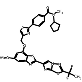 COc1cc(OCc2csc(-c3ccc(C(=O)N(C)C4CCCC4)cc3)n2)c2sc(-c3cn4nc(C(C)(F)F)sc4n3)nc2c1